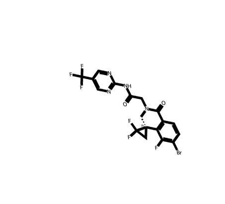 O=C(CN1C[C@@]2(CC2(F)F)c2c(ccc(Br)c2F)C1=O)Nc1ncc(C(F)(F)F)cn1